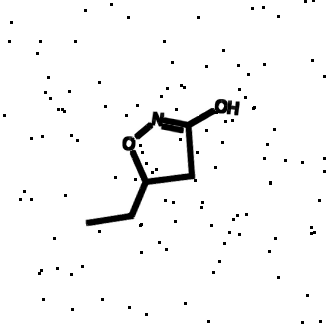 CCC1CC(O)=NO1